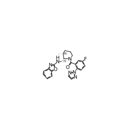 C[C@@H]1CCCN(C(=O)c2cc(F)ccc2-n2nccn2)[C@@H]1CNc1nc2ccccc2o1